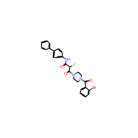 O=C(Nc1ccc(-c2ccccc2)cc1)C(F)C(=O)N1CCN(C(=O)c2ccccc2Br)CC1